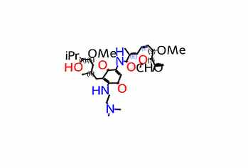 C=C(C)[C@H](OC=O)[C@H](/C=C\C=C(/C)C(=O)NC1=CC(=O)C(NCCN(C)C)=C(C[C@@H](C)C[C@H](OC)[C@H](O)C(C)C)C1=O)OC